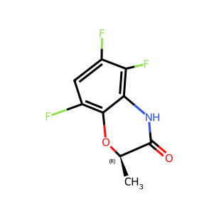 C[C@H]1Oc2c(F)cc(F)c(F)c2NC1=O